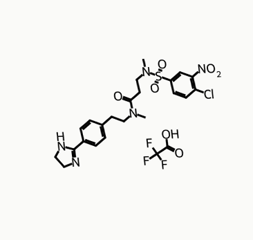 CN(CCc1ccc(C2=NCCN2)cc1)C(=O)CCN(C)S(=O)(=O)c1ccc(Cl)c([N+](=O)[O-])c1.O=C(O)C(F)(F)F